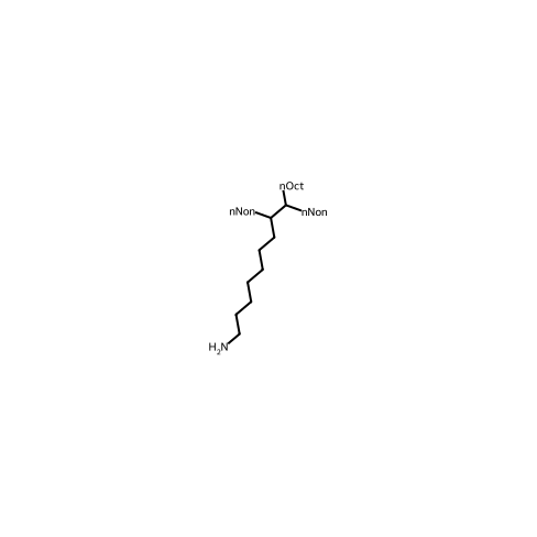 CCCCCCCCCC(CCCCCCCC)C(CCCCCCCN)CCCCCCCCC